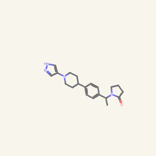 CC(c1ccc(C2CCN(c3cn[nH]c3)CC2)cc1)N1CCCC1=O